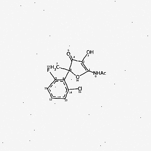 CC(=O)NC1=C(O)C(=O)C(C)(c2c(F)cccc2Cl)O1